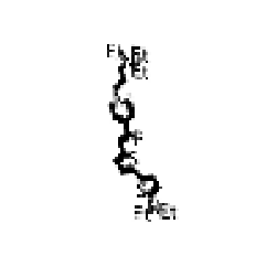 CCN(CC)c1ccc(-c2ccc(/C=C(\F)c3cc[n+](CCC[N+](CC)(CC)CC)cc3)s2)s1